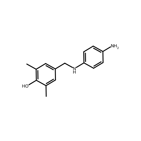 Cc1cc(CNc2ccc(N)cc2)cc(C)c1O